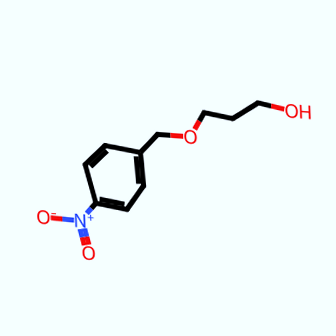 O=[N+]([O-])c1ccc(COCCCO)cc1